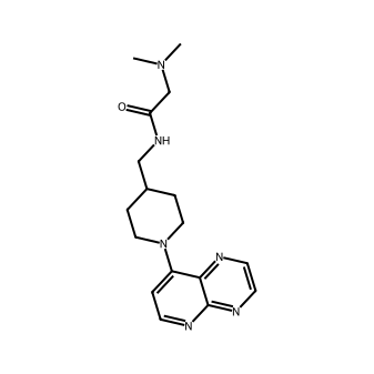 CN(C)CC(=O)NCC1CCN(c2ccnc3nccnc23)CC1